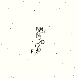 NC(=O)CN1CCC(C(=O)c2cccc(OC(F)(F)F)c2)CC1